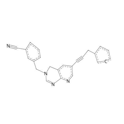 N#Cc1cccc(CN2C=Nc3ncc(C#CCc4ccccc4)cc3C2)c1